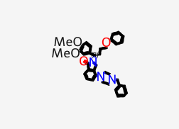 COc1ccc([C@@H](CCCOc2ccccc2)N2Cc3c(cccc3N3CCN(Cc4ccccc4)CC3)C2=O)cc1OC